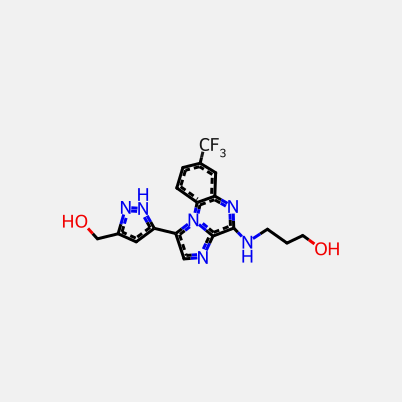 OCCCNc1nc2cc(C(F)(F)F)ccc2n2c(-c3cc(CO)n[nH]3)cnc12